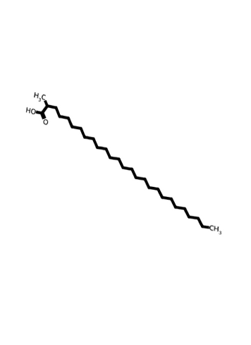 CCCCCCCCCCCCCCCCCCCCCCCCCC(C)C(=O)O